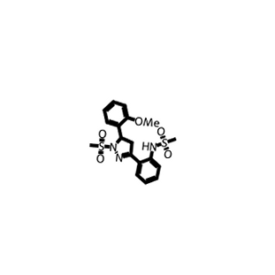 COc1ccccc1C1CC(c2ccccc2NS(C)(=O)=O)=NN1S(C)(=O)=O